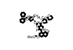 CCc1c(F)ccc2cc(OCOC)cc(-c3ncc4c(N5CCC[C@](C)(OC6CCCCO6)C5)nc(OC[C@@H]5C[C@@H](O[Si](c6ccccc6)(c6ccccc6)C(C)(C)C)CN5C)nc4c3F)c12